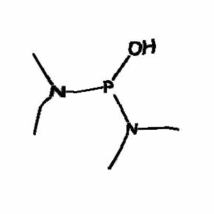 CN(C)P(O)N(C)C